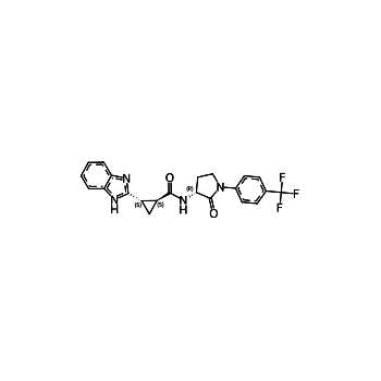 O=C(N[C@@H]1CCN(c2ccc(C(F)(F)F)cc2)C1=O)[C@H]1C[C@@H]1c1nc2ccccc2[nH]1